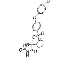 CC1(C2CCCN2S(=O)(=O)c2ccc(Oc3ccc(Cl)cc3)cc2)NC(=O)NC1=O